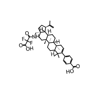 C=C(C)[C@@H]1CC[C@]2(CNC(=O)C(F)(F)C(=O)O)CC[C@]3(C)[C@H](CC[C@@H]4[C@@]5(C)CC=C(c6ccc(C(=O)O)cc6)C(C)(C)[C@@H]5CC[C@]43C)[C@@H]12